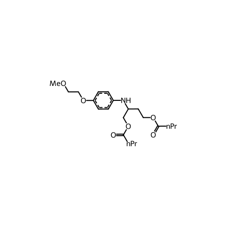 CCCC(=O)OCCC(COC(=O)CCC)Nc1ccc(OCCOC)cc1